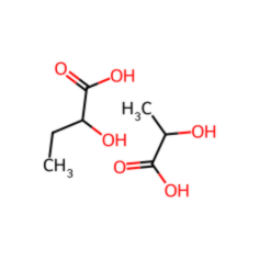 CC(O)C(=O)O.CCC(O)C(=O)O